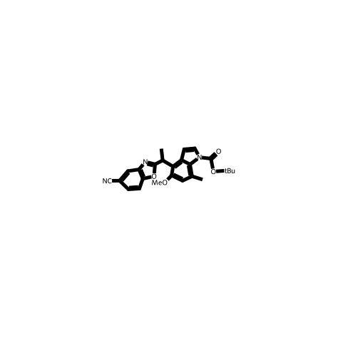 COc1cc(C)c2c(ccn2C(=O)OC(C)(C)C)c1C(C)c1nc2cc(C#N)ccc2o1